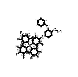 CC(C)Oc1ccccc1[I+]c1ccccc1.Fc1c(F)c(F)c([B-](c2c(F)c(F)c(F)c(F)c2F)(c2c(F)c(F)c(F)c(F)c2F)c2c(F)c(F)c(F)c(F)c2F)c(F)c1F